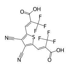 N#Cc1c(/C=C(/C(=O)O)C(F)(F)F)sc(/C=C(/C(=O)O)C(F)(F)F)c1C#N